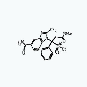 CCS(=O)(=O)C(CC(=O)NC)(c1ccccc1)n1c(C(F)(F)F)nc2cc(C(N)=O)ccc21